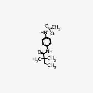 CCC(C)(C)C(=O)Nc1ccc(NS(C)(=O)=O)cc1